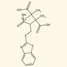 CC(C)(C(=O)O)C(C)(C(=O)O)C(CSc1nc2ccccc2s1)C(=O)O